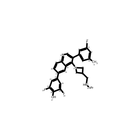 CCCNCC1CN(c2c(-c3cc(C)cc(F)c3)cnc3ccc(-c4cc(F)c(O)c(F)c4)cc23)C1